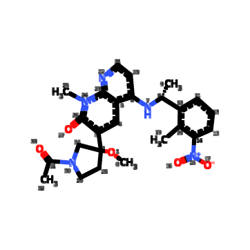 COC1(c2cc3c(N[C@H](C)c4cccc([N+](=O)[O-])c4C)ccnc3n(C)c2=O)CCN(C(C)=O)C1